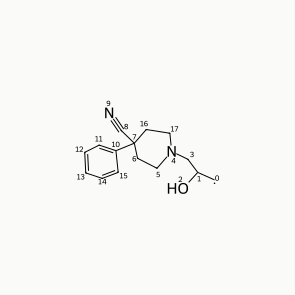 [CH2]C(O)CN1CCC(C#N)(c2ccccc2)CC1